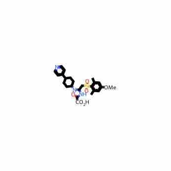 COc1cc(C)c(S(=O)(=O)CC2NC(C(=O)O)ON2C2CCC(c3ccncc3)CC2)c(C)c1